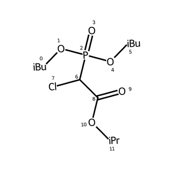 CCC(C)OP(=O)(OC(C)CC)C(Cl)C(=O)OC(C)C